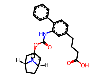 CN1[C@@H]2CC[C@H]1C[C@H](OC(=O)Nc1cc(CCCC(=O)O)ccc1-c1ccccc1)C2